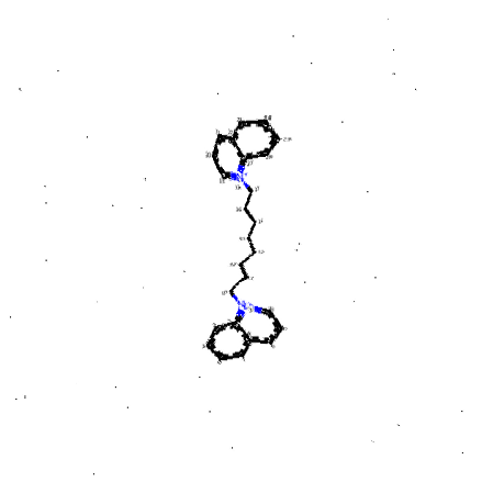 c1ccc2c(c1)ccc[n+]2CCCCCCCC[n+]1cccc2ccccc21